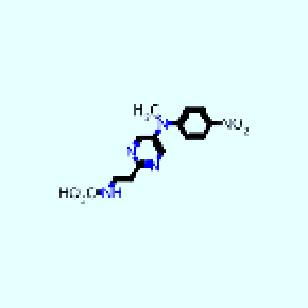 CN(c1ccc([N+](=O)[O-])cc1)c1cnc(CCNC(=O)O)nc1